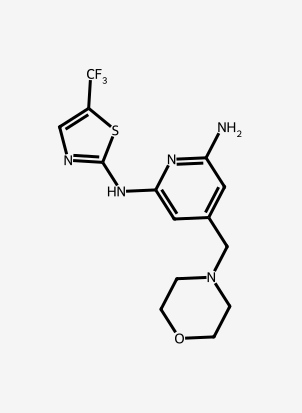 Nc1cc(CN2CCOCC2)cc(Nc2ncc(C(F)(F)F)s2)n1